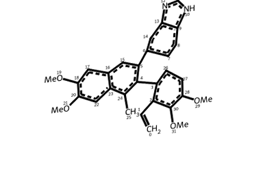 C=Cc1c(-c2c(-c3ccc4[nH]cnc4c3)cc3cc(OC)c(OC)cc3c2C)ccc(OC)c1OC